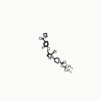 CC(C)OC(=O)N1CCC(n2ncc(COc3ccc(C(=O)N4CCC4)cc3F)c2C#N)CC1